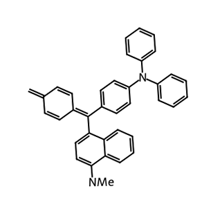 C=c1ccc(=C(c2ccc(N(c3ccccc3)c3ccccc3)cc2)c2ccc(NC)c3ccccc23)cc1